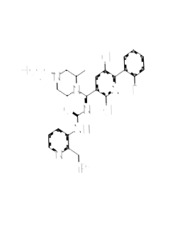 CC(C)Cc1ncccc1NC(=O)N=C(c1cc(Cl)c(-c2ccccc2F)nc1Cl)N1CCN(C(=O)O)CC1C